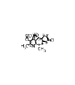 Cc1nc(C(C)I)c2c(c1OC(=O)O)COC2c1ccc(Cl)cc1